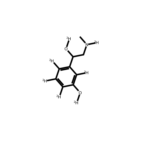 [2H]Oc1c([2H])c([2H])c([2H])c(C(CN([2H])C)O[2H])c1[2H]